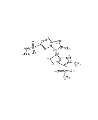 CNS(=O)(=O)c1ccc2c(c1)/C(=C1\CCc3c1[nH]c(C)c3S(C)(=O)=O)C(=O)N2